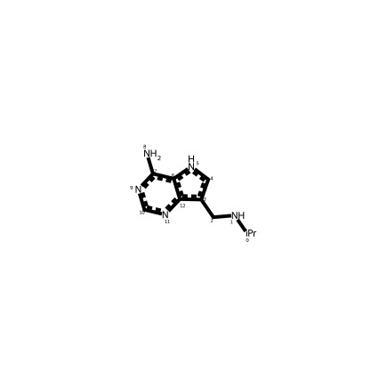 CC(C)NCc1c[nH]c2c(N)ncnc12